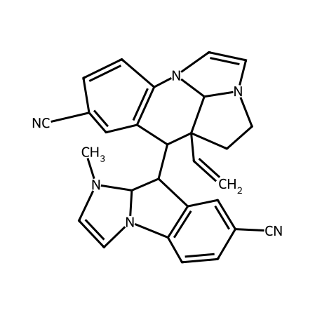 C=CC12CCN3C=CN(c4ccc(C#N)cc4C1C1c4cc(C#N)ccc4N4C=CN(C)C14)C32